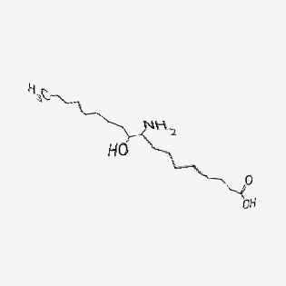 CCCCCCCCC(O)C(N)CCCCCCCC(=O)O